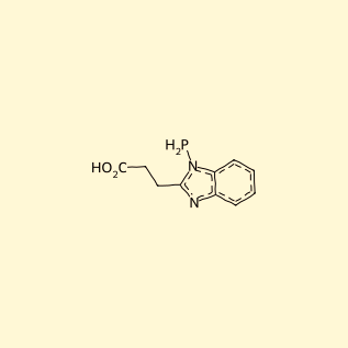 O=C(O)CCc1nc2ccccc2n1P